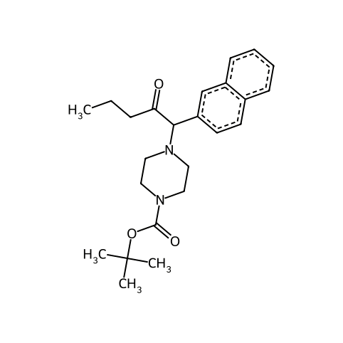 CCCC(=O)C(c1ccc2ccccc2c1)N1CCN(C(=O)OC(C)(C)C)CC1